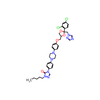 CCCCCn1ncn(-c2ccc(N3CCN(c4ccc(OCC5COC(Cn6cncn6)(c6ccc(Cl)cc6Cl)O5)cc4)CC3)cc2)c1=O